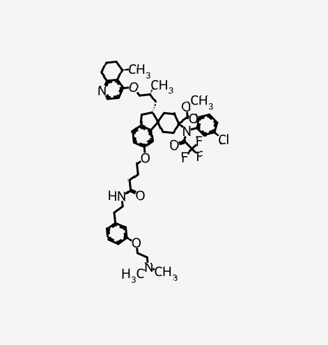 COC(=O)C1(N(C(=O)C(F)(F)F)c2cccc(Cl)c2)CCC2(CC1)c1cc(OCCCC(=O)NCCc3cccc(OCCN(C)C)c3)ccc1C[C@@H]2C[C@@H](C)COc1ccnc2c1[C@H](C)CCC2